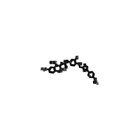 CCCc1ccc(C)cc1N(C=O)/C(=N/C(=O)Nc1ccc(NCc2ncn(-c3ccc(OC(F)(F)F)cc3)n2)c(Cl)c1)SCC